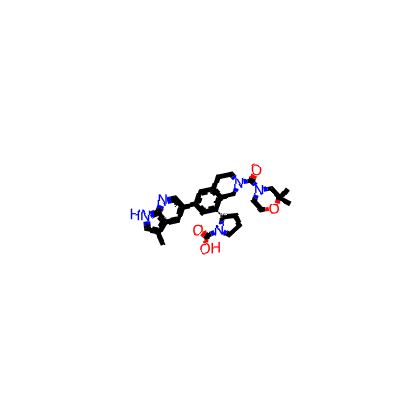 Cc1c[nH]c2ncc(-c3cc4c(c([C@@H]5CCCN5C(=O)O)c3)CN(C(=O)N3CCOC(C)(C)C3)CC4)cc12